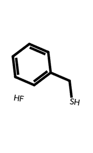 F.SCc1ccccc1